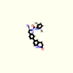 N#C[C@H](Cc1ccc(-c2ccc3c(c2)CCC(=O)N3)cc1)NC(=O)[C@H]1N[C@@H]2CC[C@H]1C2